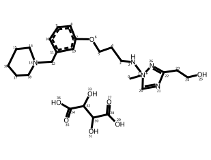 C[N+]1(NCCCOc2cccc(CN3CCCCC3)c2)C=NC(CCO)=N1.O=C(O)C(O)C(O)C(=O)O